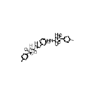 Cc1ccc(S(=O)(=O)NC(=O)NCc2cccc(CNC(=O)NS(=O)(=O)c3ccc(C)cc3)c2)cc1